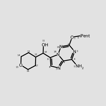 CCCC(C)Oc1nc(N)c2ncc(C(O)C3CCOCC3)n2n1